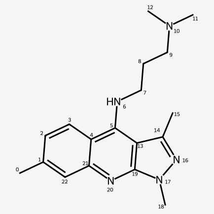 Cc1ccc2c(NCCCN(C)C)c3c(C)nn(C)c3nc2c1